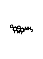 Cc1cc(=O)cc2oc3cc(N)cc(C)c3nc1-2